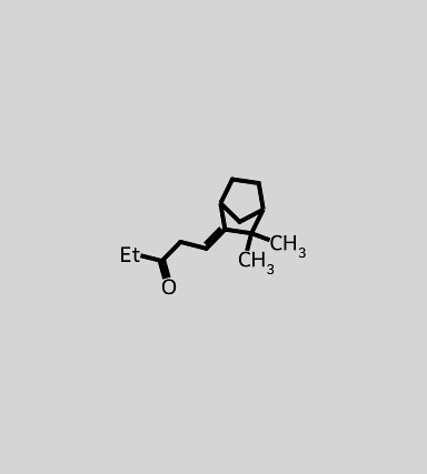 CCC(=O)CC=C1C2CCC(C2)C1(C)C